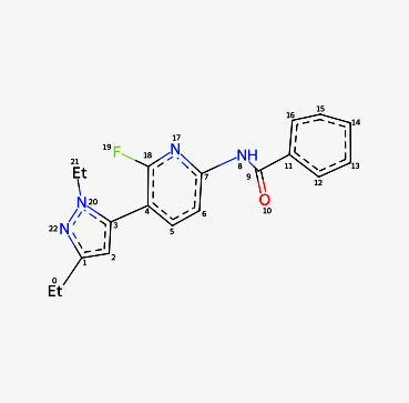 CCc1cc(-c2ccc(NC(=O)c3ccccc3)nc2F)n(CC)n1